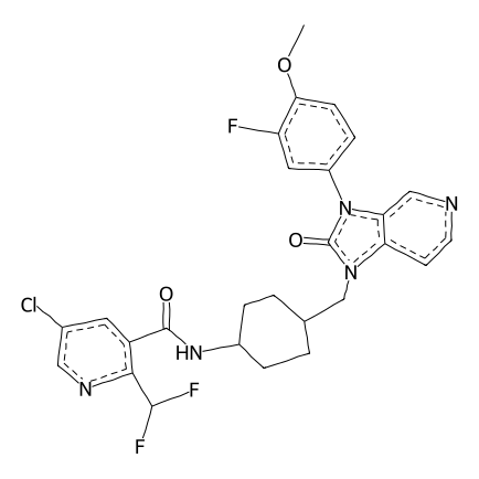 COc1ccc(-n2c(=O)n(CC3CCC(NC(=O)c4cc(Cl)cnc4C(F)F)CC3)c3ccncc32)cc1F